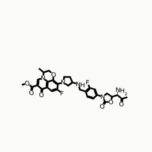 COC(=O)c1cn2c3c(c(N4CCC(NCc5ccc(N6CC([C@H](N)C(C)=O)OC6=O)cc5F)C4)c(F)cc3c1=O)OCC2C